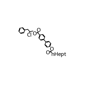 CCCCCCCC(=O)Oc1ccc(-c2ccc(C(=O)OCC(Cl)Cc3ccccc3)cc2)cc1